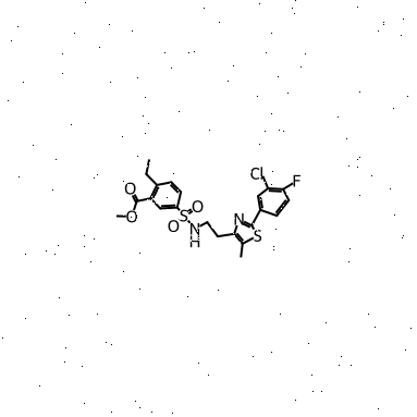 CCc1ccc(S(=O)(=O)NCCc2nc(-c3ccc(F)c(Cl)c3)sc2C)cc1C(=O)OC